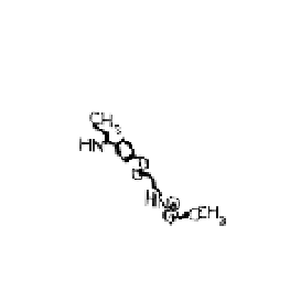 CCCC(=N)c1ccc(OC(=O)CCCNS(=O)(=O)CCOC)cc1